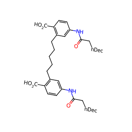 CCCCCCCCCCCC(=O)Nc1ccc(C(=O)O)c(CCCCCc2cc(NC(=O)CCCCCCCCCCC)ccc2C(=O)O)c1